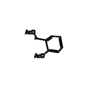 CC(=O)O[C]c1ccccc1OC(C)=O